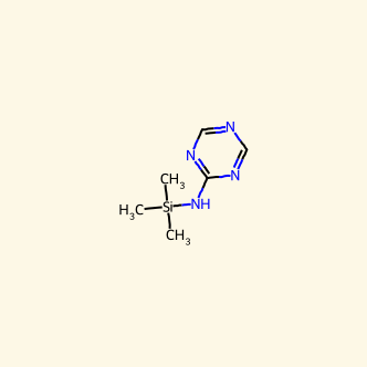 C[Si](C)(C)Nc1ncncn1